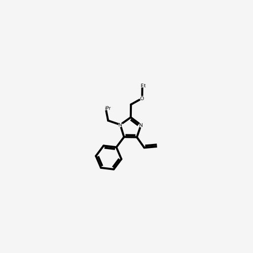 C=Cc1nc(COCC)n(CC(C)C)c1-c1ccccc1